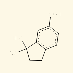 CC1(C#N)CCc2ccc(C(=O)O)cc21